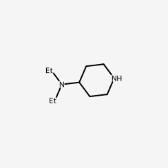 CCN(CC)C1CCNCC1